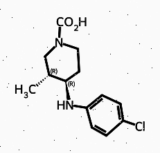 C[C@@H]1CN(C(=O)O)CC[C@H]1Nc1ccc(Cl)cc1